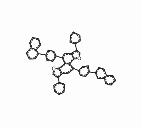 c1ccc(-c2coc3c2cc(-c2ccc(-c4cccc5ccccc45)cc2)c2c4occ(-c5ccccc5)c4cc(-c4ccc(-c5ccc6ccccc6c5)cc4)c32)cc1